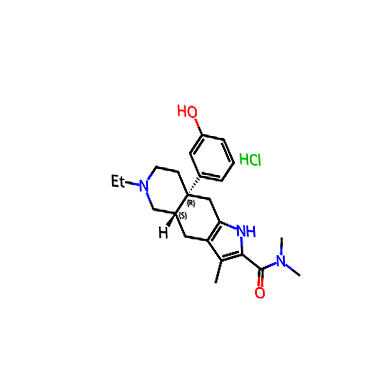 CCN1CC[C@@]2(c3cccc(O)c3)Cc3[nH]c(C(=O)N(C)C)c(C)c3C[C@@H]2C1.Cl